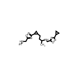 CC(C)NCc1nc(C2CC2CCC(C)NCc2nc(C3CC3)no2)no1